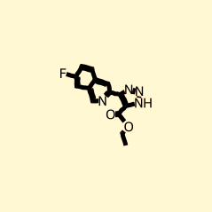 CCOC(=O)c1[nH]nnc1-c1cc2ccc(F)cc2cn1